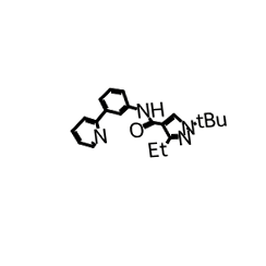 CCc1nn(C(C)(C)C)cc1C(=O)Nc1cccc(-c2ccccn2)c1